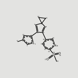 Cc1csc(C2=CC3(C=C2c2ccc(S(C)(=O)=O)nc2)CC3)c1